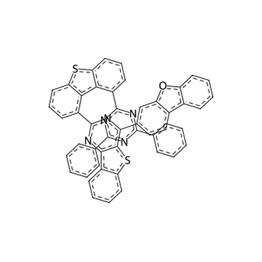 c1ccc(-c2nc(-c3ccccc3)nc(-c3cccc4sc5cccc(-c6nc(-c7ccc8c(c7)oc7ccccc78)c7sc8ccccc8c7n6)c5c34)n2)cc1